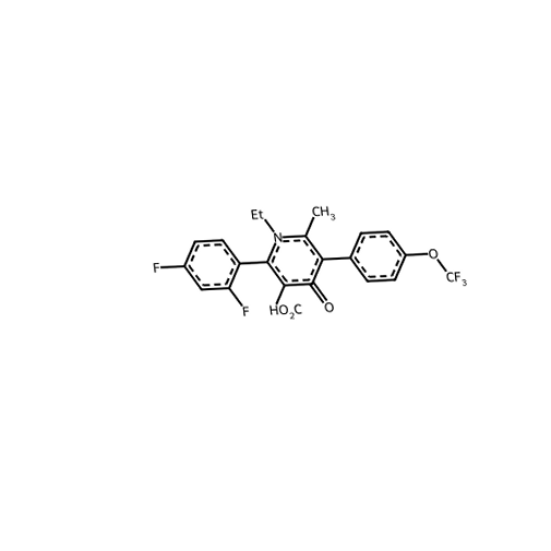 CCn1c(C)c(-c2ccc(OC(F)(F)F)cc2)c(=O)c(C(=O)O)c1-c1ccc(F)cc1F